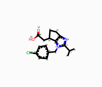 CC(C)c1nc2c(n1Cc1ccc(Cl)cc1)C(CC(=O)O)CC2